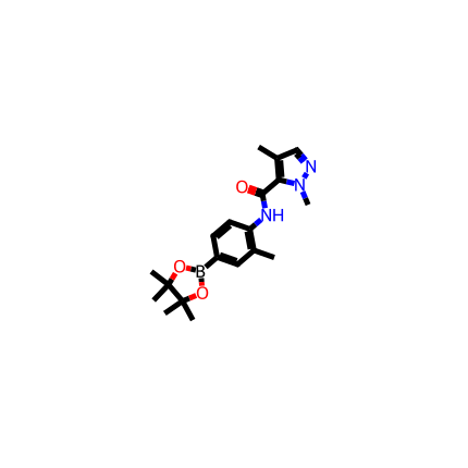 Cc1cc(B2OC(C)(C)C(C)(C)O2)ccc1NC(=O)c1c(C)cnn1C